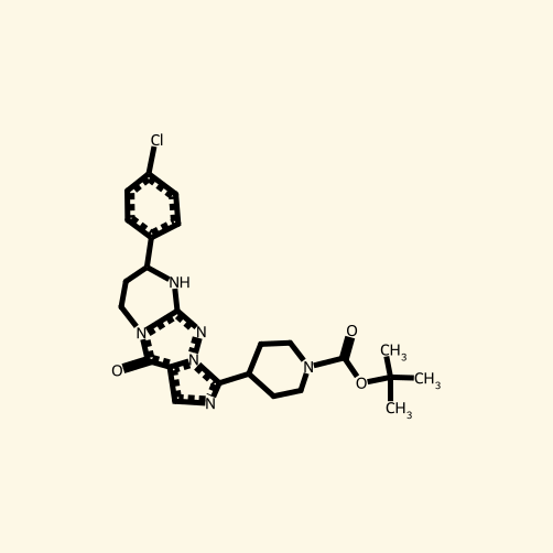 CC(C)(C)OC(=O)N1CCC(c2ncc3c(=O)n4c(nn23)NC(c2ccc(Cl)cc2)CC4)CC1